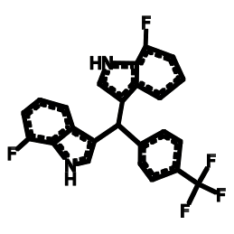 Fc1cccc2c(C(c3ccc(C(F)(F)F)cc3)c3c[nH]c4c(F)cccc34)c[nH]c12